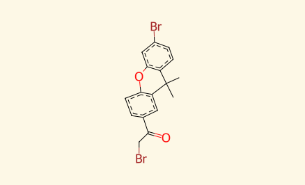 CC1(C)c2ccc(Br)cc2Oc2ccc(C(=O)CBr)cc21